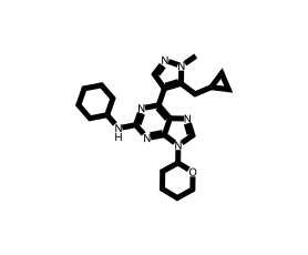 Cn1ncc(-c2nc(NC3CCCCC3)nc3c2ncn3C2CCCCO2)c1CC1CC1